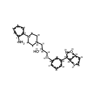 Nc1ccccc1N1CCN(C[C@@H](O)COc2cccc(-c3noc4ccsc34)c2)CC1